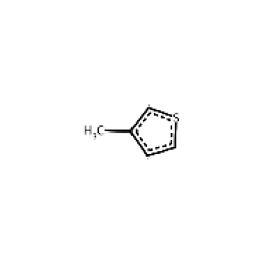 Cc1[c]cs[c]1